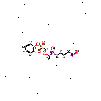 CC(OCS(=O)(=O)Oc1ccccc1)[PH](=O)CCCCP=O